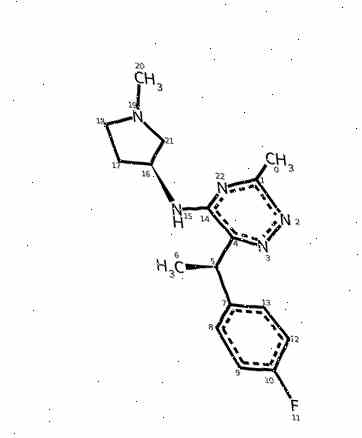 Cc1nnc([C@H](C)c2ccc(F)cc2)c(N[C@H]2CCN(C)C2)n1